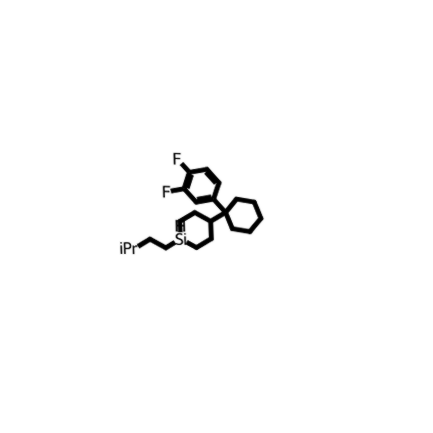 CC(C)CC[SiH]1CCC(C2(c3ccc(F)c(F)c3)CCCCC2)CC1